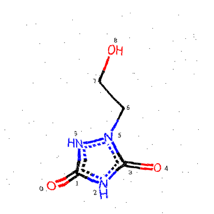 O=c1[nH]c(=O)n(CCO)[nH]1